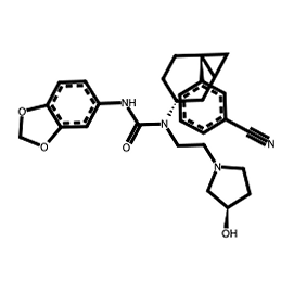 N#Cc1cccc([C@]23CC[C@@H](N(CCN4CC[C@@H](O)C4)C(=O)Nc4ccc5c(c4)OCO5)CC2C3)c1